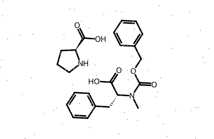 CN(C(=O)OCc1ccccc1)[C@H](Cc1ccccc1)C(=O)O.O=C(O)[C@@H]1CCCN1